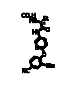 CC[C@@H](NC(=O)O)C(=O)Nc1ccc(Oc2ccc(C#N)cc2C(C)(C)C)nc1